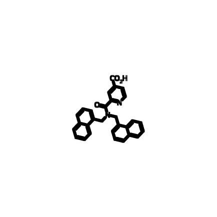 O=C(O)c1ccnc(C(=O)N(Cc2cccc3ccccc23)Cc2cccc3ccccc23)c1